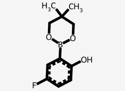 CC1(C)COB(c2cc(F)ccc2O)OC1